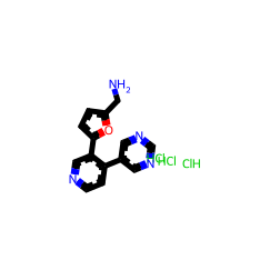 Cl.Cl.Cl.NCc1ccc(-c2cnccc2-c2cncnc2)o1